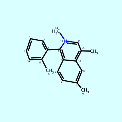 Cc1ccc2c(-c3ccccc3C)[n+](C)cc(C)c2c1